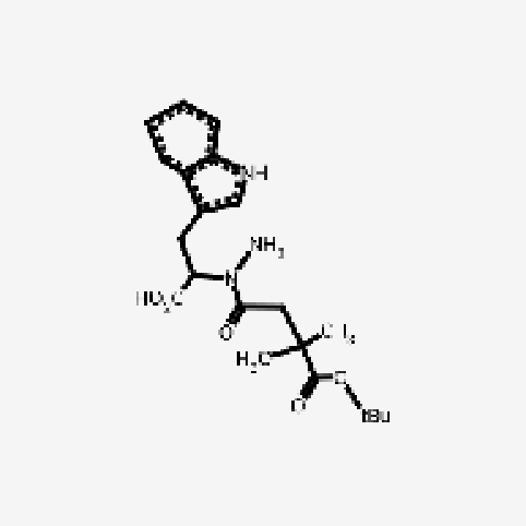 CC(C)(C)OC(=O)C(C)(C)CC(=O)N(N)C(Cc1c[nH]c2ccccc12)C(=O)O